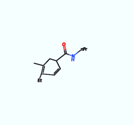 CCCNC(=O)C1C=CC(CC)=C(C)C1